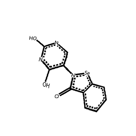 O=c1c2ccccc2[se]n1-c1cnc(O)nc1O